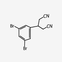 N#CCC(CC#N)c1cc(Br)cc(Br)c1